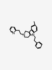 Cc1ccc2c(c1)c1c(n2CCc2ccccc2)CCN(CCc2ccccn2)C1